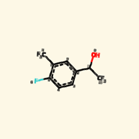 OC(c1ccc(F)c(C(F)(F)F)c1)C(F)(F)F